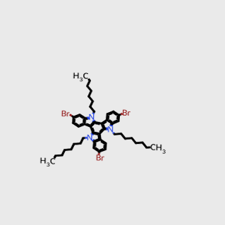 CCCCCCCCn1c2cc(Br)ccc2c2c1c1c3ccc(Br)cc3n(CCCCCCCC)c1c1c3ccc(Br)cc3n(CCCCCCCC)c21